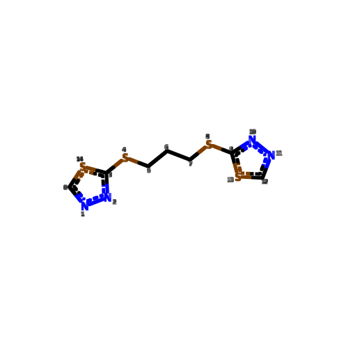 c1nnc(SCCCSc2nncs2)s1